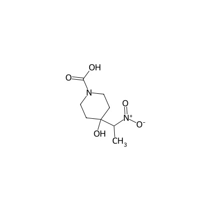 CC([N+](=O)[O-])C1(O)CCN(C(=O)O)CC1